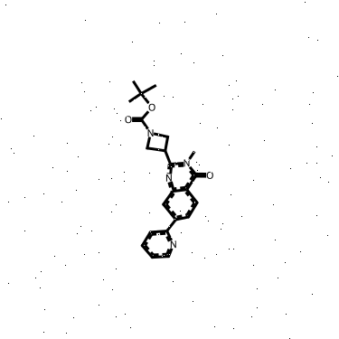 Cn1c(C2CN(C(=O)OC(C)(C)C)C2)nc2cc(-c3ccccn3)ccc2c1=O